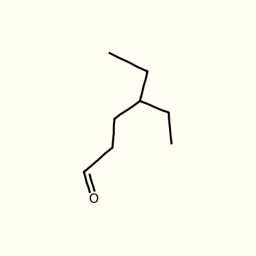 CCC(CC)CCC=O